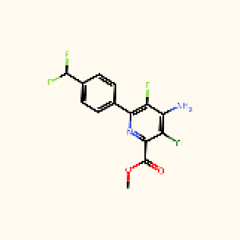 COC(=O)c1nc(-c2ccc(C(F)F)cc2)c(F)c(N)c1Cl